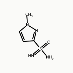 Cn1ccc(S(=N)(N)=O)n1